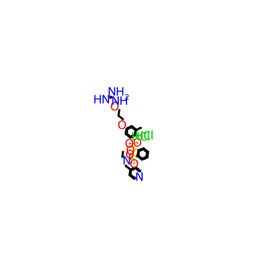 CCN(Cc1ccncc1)S(=O)(=O)c1ccccc1S(=O)(=O)Oc1cc(C)cc(OCCCONC(=N)N)c1.Cl.Cl